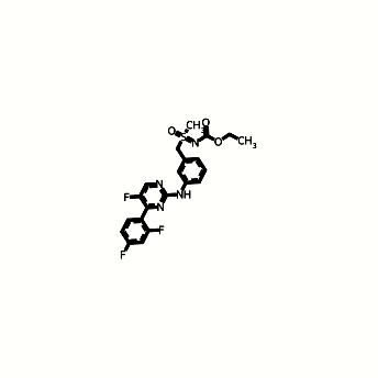 CCOC(=O)N=S(C)(=O)Cc1cccc(Nc2ncc(F)c(-c3ccc(F)cc3F)n2)c1